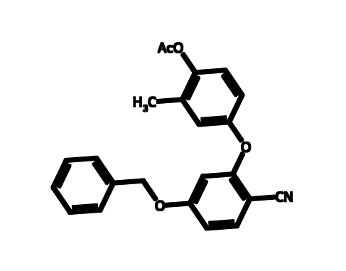 CC(=O)Oc1ccc(Oc2cc(OCc3ccccc3)ccc2C#N)cc1C